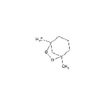 CC12CCCC(C)(C1)OO2